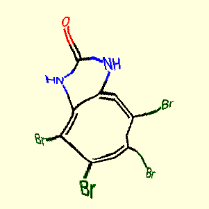 O=c1[nH]c2c(Br)c(Br)c(Br)c(Br)c2[nH]1